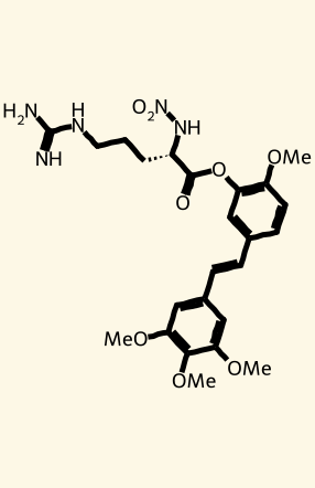 COc1ccc(C=Cc2cc(OC)c(OC)c(OC)c2)cc1OC(=O)[C@H](CCCNC(=N)N)N[N+](=O)[O-]